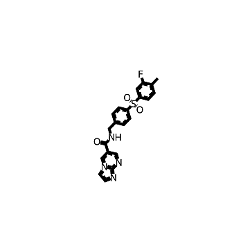 Cc1ccc(S(=O)(=O)c2ccc(CNC(=O)c3cnc4nccn4c3)cc2)cc1F